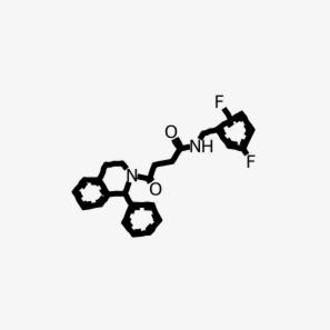 O=C(CCC(=O)N1CCc2ccccc2C1c1ccccc1)NCc1cc(F)ccc1F